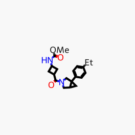 CCc1ccc(C23CC2CN(C(=O)C2CC(NC(=O)OC)C2)C3)cc1